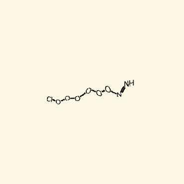 N=NOOOOOOCl